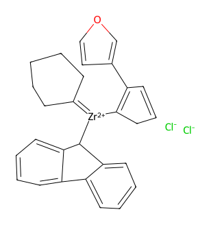 C1=CC(c2ccoc2)=[C]([Zr+2](=[C]2CCCCC2)[CH]2c3ccccc3-c3ccccc32)C1.[Cl-].[Cl-]